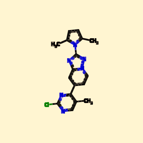 Cc1cnc(Cl)nc1-c1ccn2nc(-n3c(C)ccc3C)nc2c1